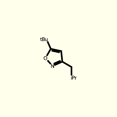 CC(C)Cc1cc(C(C)(C)C)on1